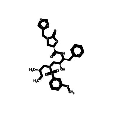 CC[C@H](C)CN(C[C@@H](O)[C@H](Cc1ccccc1)NC(=O)[C@@H]1CN(Cc2cncs2)C(=O)O1)S(=O)(=O)c1cccc(OC)c1